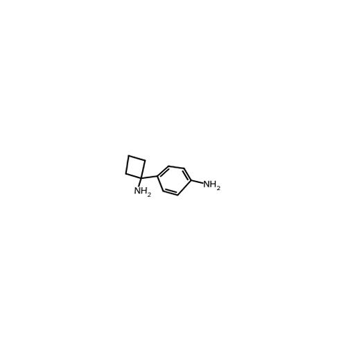 Nc1ccc(C2(N)CCC2)cc1